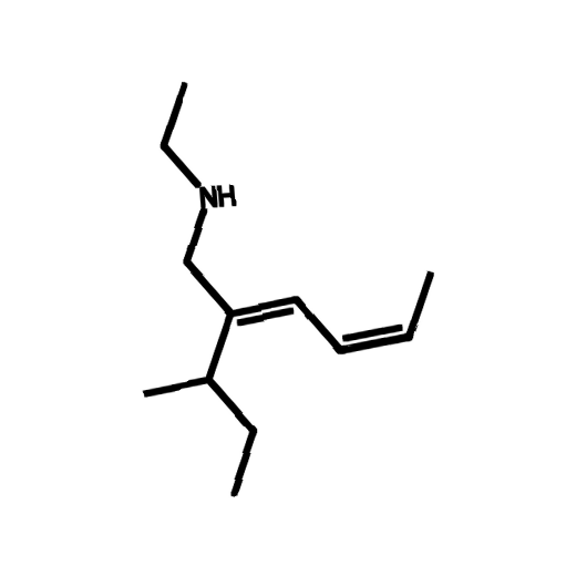 C/C=C\C=C(\CNCC)C(C)CC